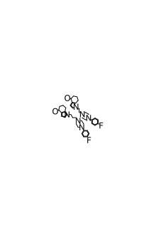 O=C1CCCc2c1ccn2CCCN1CCN(c2ccc(F)cc2)CC1.O=C1CCCc2c1ccn2CCN1CCN(c2ccc(F)cc2)CC1